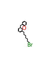 O=C1C(CCCCCCCBr)=CC=CC1Cc1ccccc1